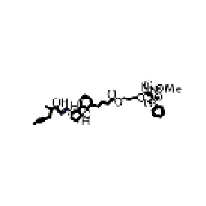 CC#CCC(C)[C@@H](O)/C=C/[C@@H]1CC[C@H]2Oc3c(CCCC(=O)OCCCOc4no[n+](OC)c4S(=O)(=O)c4ccccc4)cccc3[C@@H]12